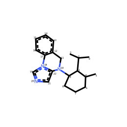 CC(C)C1C(C)CCCC1N1Cc2ccccc2-n2cncc21